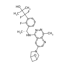 Cc1nnc(N[C@H](C)c2cccc(C(F)(F)C(C)(C)O)c2F)c2cc(N3CC4CC(C3)O4)cnc12